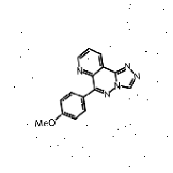 COc1ccc(-c2nn3cnnc3c3cccnc23)cc1